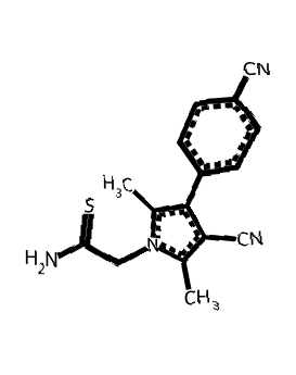 Cc1c(C#N)c(-c2ccc(C#N)cc2)c(C)n1CC(N)=S